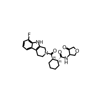 O=C1COCC1NC(=O)[C@@H]1CCCC[C@H]1C(=O)N1CCc2c([nH]c3c(F)cccc23)C1